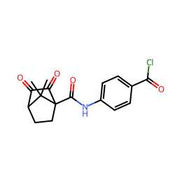 CC1(C)C2CCC1(C(=O)Nc1ccc(C(=O)Cl)cc1)C(=O)C2=O